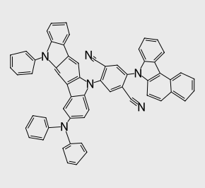 N#Cc1cc(-n2c3ccccc3c3c4ccccc4ccc32)c(C#N)cc1-n1c2ccc(N(c3ccccc3)c3ccccc3)cc2c2cc3c(cc21)c1ccccc1n3-c1ccccc1